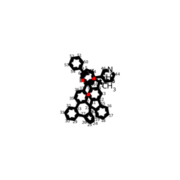 CC1(C)c2ccccc2-c2cc3c(cc21)-c1ccccc1C31c2ccccc2-c2ccccc2-c2ccc(-c3cc(-c4cccnc4)nc(-c4ccccc4)n3)cc21